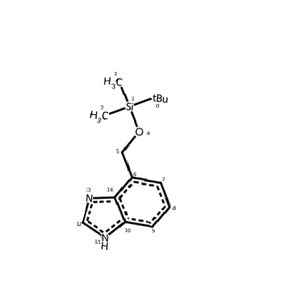 CC(C)(C)[Si](C)(C)OCc1cccc2[nH]cnc12